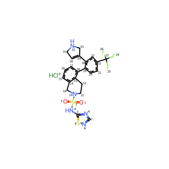 Cl.O=S(=O)(Nc1ncns1)N1CCc2c(cccc2-c2ccc(C(F)(F)F)cc2C2=CCNC2)C1